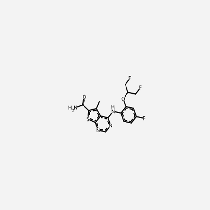 Cc1c(C(N)=O)sc2ncnc(Nc3ccc(F)cc3OC(CF)CF)c12